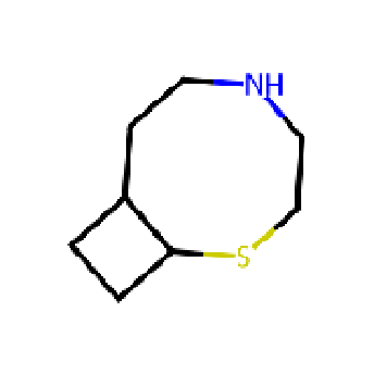 C1CSC2CCC2CCN1